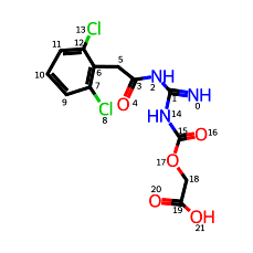 N=C(NC(=O)Cc1c(Cl)cccc1Cl)NC(=O)OCC(=O)O